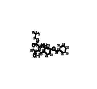 CC(C)COC(=O)N(N)C(Cc1ccc(OCc2ccccc2)cc1)C(C)O